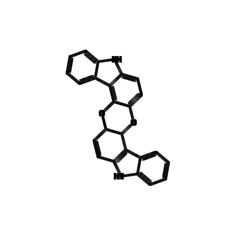 C1=CC2Oc3c(ccc4[nH]c5ccccc5c34)OC2c2c1[nH]c1ccccc21